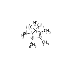 CC1=C(C)C(C)(C)[C]([Ru])=C1C.[H-].[H-]